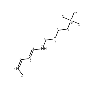 C/N=C\N=C\NCOCC[Si](C)(C)C